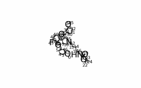 COc1cccc(C(=O)[C@H]2CN(CCCCCNC(=O)OC(C)(C)C)C[C@@H](C(=O)c3cccc(OC)c3)[C@H]2c2cccc(F)c2C)c1